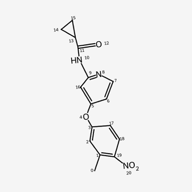 Cc1cc(Oc2ccnc(NC(=O)C3CC3)c2)ccc1[N+](=O)[O-]